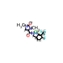 CN1CC(C(=O)NCC2=CCC(F)C(C(F)(F)F)=C2Cl)N(C)C1=O